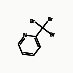 BrC(Br)(Br)c1ccccn1